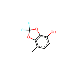 Cc1ccc(O)c2c1OC(F)(F)O2